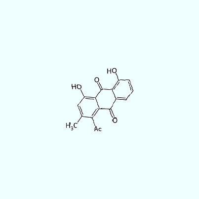 CC(=O)c1c(C)cc(O)c2c1C(=O)c1cccc(O)c1C2=O